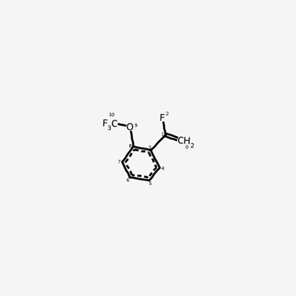 C=C(F)c1ccccc1OC(F)(F)F